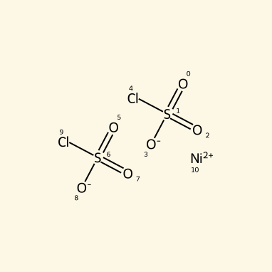 O=S(=O)([O-])Cl.O=S(=O)([O-])Cl.[Ni+2]